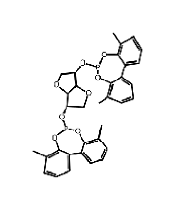 Cc1cccc2c1op(O[C@@H]1COC3C1OC[C@H]3Op1oc3c(C)cccc3c3cccc(C)c3o1)oc1c(C)cccc12